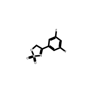 O=S1(=O)N=C(c2cc(F)cc(F)c2)CO1